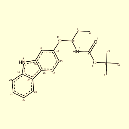 CCC(NC(=O)OC(C)(C)C)Oc1ccc2c(c1)[nH]c1ccccc12